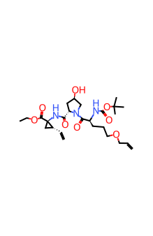 C=CCOCCC[C@H](NC(=O)OC(C)(C)C)C(=O)N1C[C@H](O)C[C@H]1C(=O)N[C@]1(C(=O)OCC)C[C@H]1C=C